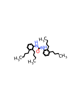 CCCCc1cccc(NC(=O)Nc2cccc(CCCC)c2CCCC)c1CCCC